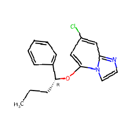 CCC[C@@H](Oc1cc(Cl)cc2nccn12)c1ccccc1